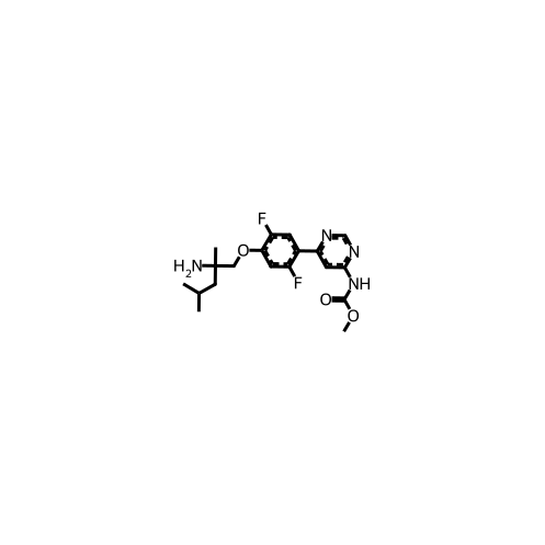 COC(=O)Nc1cc(-c2cc(F)c(OCC(C)(N)CC(C)C)cc2F)ncn1